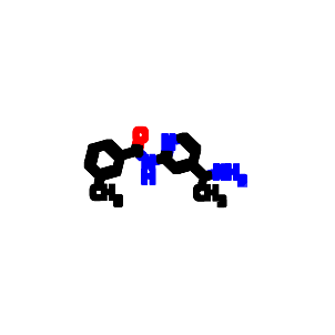 Cc1cccc(C(=O)Nc2cc([C@H](C)N)ccn2)c1